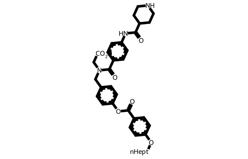 CCCCCCCOc1ccc(C(=O)Oc2ccc(CN(CC(=O)O)C(=O)c3ccc(NC(=O)C4CCNCC4)cc3)cc2)cc1